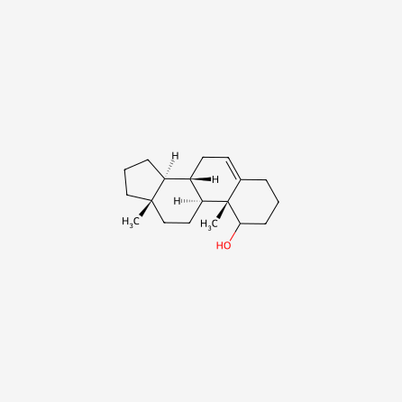 C[C@@]12CCC[C@H]1[C@@H]1CC=C3CCCC(O)[C@]3(C)[C@H]1CC2